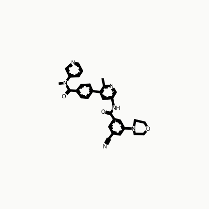 Cc1ncc(NC(=O)c2cc(C#N)cc(N3CCOCC3)c2)cc1-c1ccc(C(=O)N(C)c2cccnc2)cc1